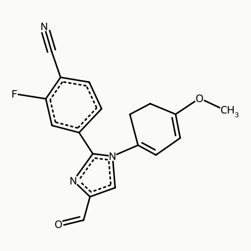 COC1=CC=C(n2cc(C=O)nc2-c2ccc(C#N)c(F)c2)CC1